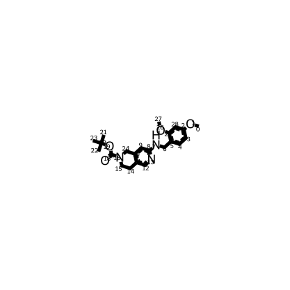 COc1ccc(CNc2cc3c(cn2)CCN(C(=O)OC(C)(C)C)C3)c(OC)c1